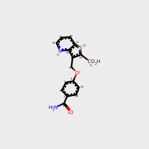 NC(=O)c1ccc(OCc2c(C(=O)O)sc3cccnc23)cc1